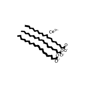 CCCCCCCCCCCCCCCCCC(=O)[O-].CCCCCCCCCCCCCCCCCC(=O)[O-].CCCCCCCCCCCCCCCCCC(=O)[O-].[Ce+3]